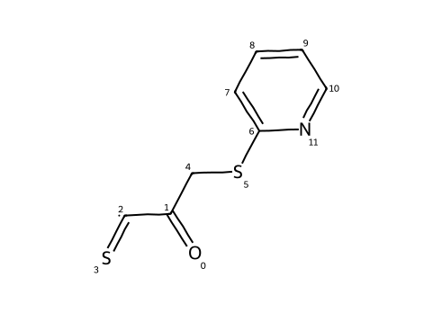 O=C([C]=S)CSc1ccccn1